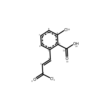 O=C(Cl)C=Cc1cccc(Cl)c1C(=O)O